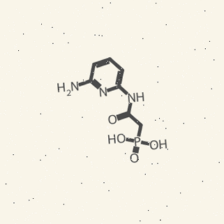 Nc1cccc(NC(=O)CP(=O)(O)O)n1